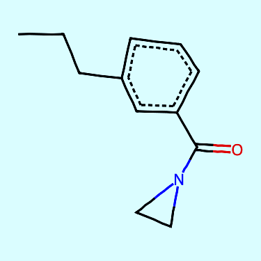 CCCc1cccc(C(=O)N2CC2)c1